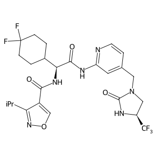 CC(C)c1nocc1C(=O)N[C@H](C(=O)Nc1cc(CN2C[C@@H](C(F)(F)F)NC2=O)ccn1)C1CCC(F)(F)CC1